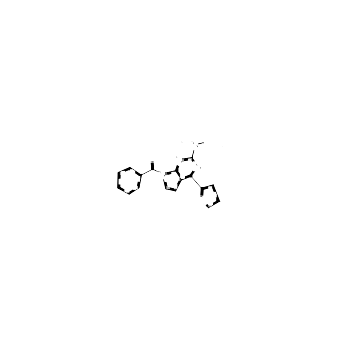 CN(C)c1nc(-c2ccco2)c2ccn(C(=O)c3ccccc3)c2n1